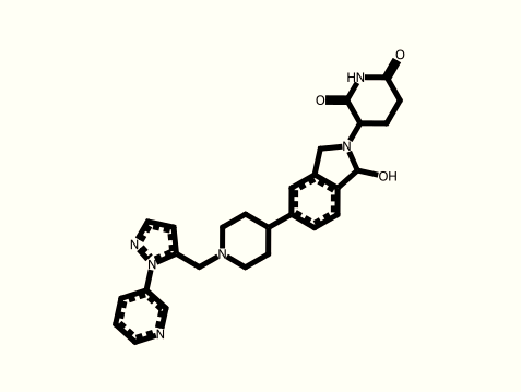 O=C1CCC(N2Cc3cc(C4CCN(Cc5ccnn5-c5cccnc5)CC4)ccc3C2O)C(=O)N1